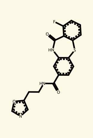 O=C(NCCc1cnco1)c1ccc2c(c1)NC(=O)c1c(F)cccc1S2